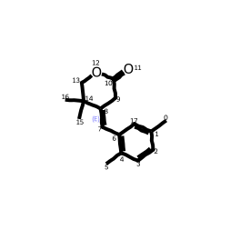 Cc1ccc(C)c(/C=C2\CC(=O)OCC2(C)C)c1